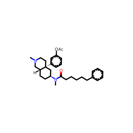 CC(=O)Oc1cccc([C@@]23CCN(C)C[C@H]2CC[C@H](N(C)C(=O)CCCCCc2ccccc2)C3)c1